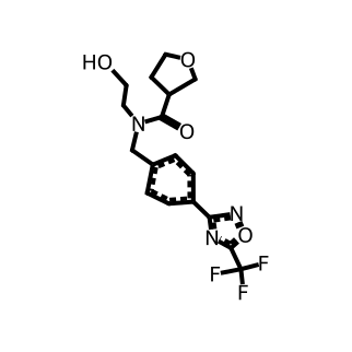 O=C(C1CCOC1)N(CCO)Cc1ccc(-c2noc(C(F)(F)F)n2)cc1